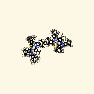 CCc1cc2c3c(c1)N(c1ccc4c(c1)C(C)(C)C(CC1(C)CCC(C)(C)c5cc6c7c(sc6cc51)B1c5cc6c(cc5N(c5cc8c(cc5C)C(C)(C)CCC8(C)C)c5cc(C(C)C)cc(c51)N7c1ccc5c(c1)C(C)(C)CCC5(C)C)C(C)(C)CCC6(C)C)CC4(C)C)c1c(sc4cc5c(cc14)C(C)(C)CCC5(C)C)B3c1cc3c(cc1N2c1cc2c(cc1C)C(C)(C)CCC2(C)C)C(C)(C)CCC3(C)C